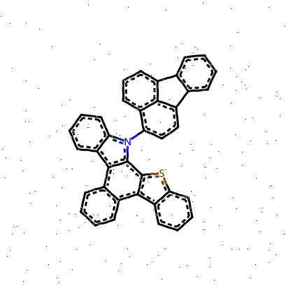 c1ccc2c(c1)-c1cccc3c(-n4c5ccccc5c5c6ccccc6c6c7ccccc7sc6c54)ccc-2c13